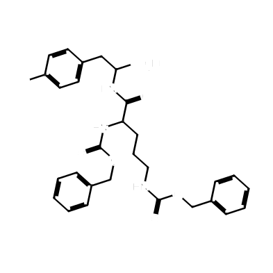 CCOC(=O)C(Cc1ccc(F)cc1)NC(=O)C(CCCNC(=O)OCc1ccccc1)NC(=O)OCc1ccccc1